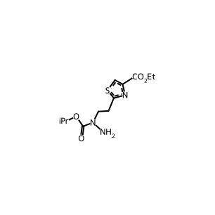 CCOC(=O)c1csc(CCN(N)C(=O)OC(C)C)n1